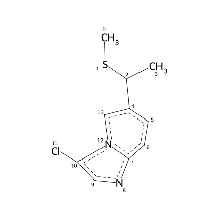 CSC(C)c1ccc2ncc(Cl)n2c1